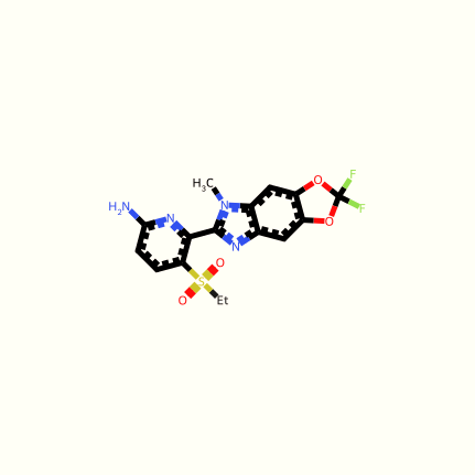 CCS(=O)(=O)c1ccc(N)nc1-c1nc2cc3c(cc2n1C)OC(F)(F)O3